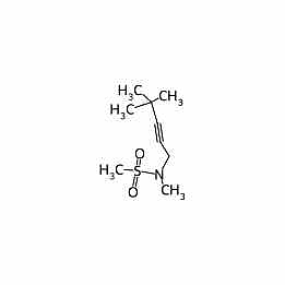 CN(CC#CC(C)(C)C)S(C)(=O)=O